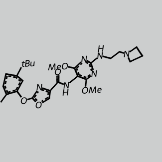 COc1nc(NCCN2CCC2)nc(OC)c1NC(=O)c1coc(Oc2cc(C(C)(C)C)ccc2C)n1